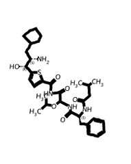 CC(C)CC(=O)N[C@@H](Cc1ccccc1)C(=O)NC(OC(C)C)C(=O)NC(=O)c1ccc([C@H](O)[C@@H](N)CC2CCCCC2)s1